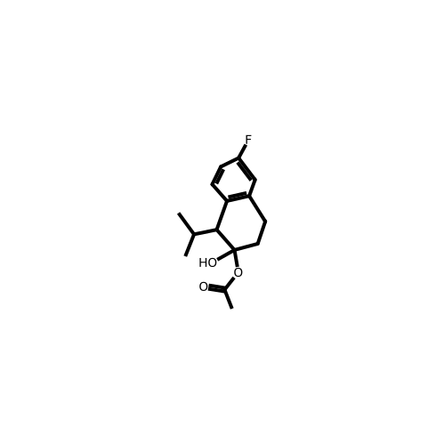 CC(=O)OC1(O)CCc2cc(F)ccc2C1C(C)C